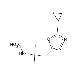 CC(C)(Cc1nnc(C2CC2)o1)NC(=O)O